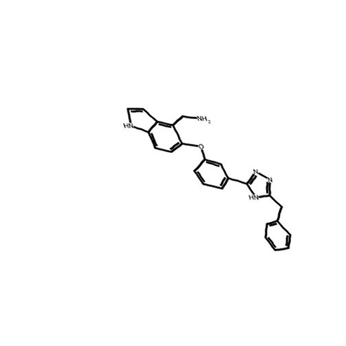 NCc1c(Oc2cccc(-c3nnc(Cc4ccccc4)[nH]3)c2)ccc2[nH]ccc12